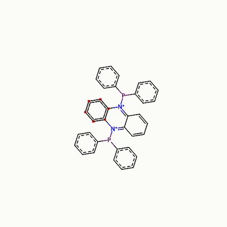 C1=CC(=[N+](c2ccccc2)P(c2ccccc2)c2ccccc2)C(=[N+](c2ccccc2)P(c2ccccc2)c2ccccc2)C=C1